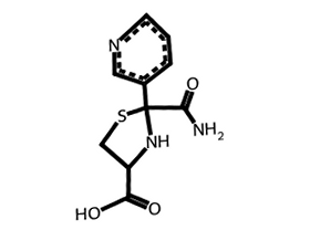 NC(=O)C1(c2cccnc2)NC(C(=O)O)CS1